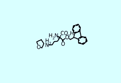 C1CCOC1.NCCC[C@@](N)(C(=O)O)C(=O)OCC1c2ccccc2-c2ccccc21